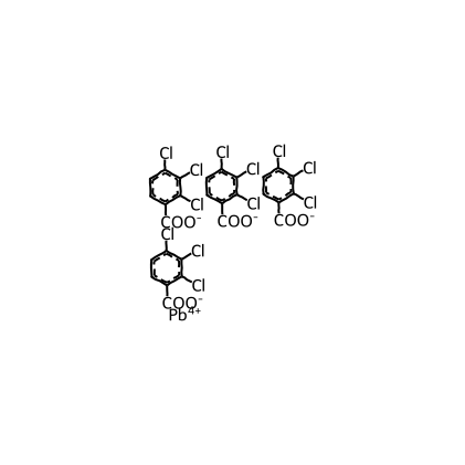 O=C([O-])c1ccc(Cl)c(Cl)c1Cl.O=C([O-])c1ccc(Cl)c(Cl)c1Cl.O=C([O-])c1ccc(Cl)c(Cl)c1Cl.O=C([O-])c1ccc(Cl)c(Cl)c1Cl.[Pb+4]